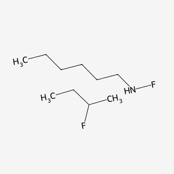 CCC(C)F.CCCCCCNF